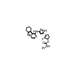 CC(C)NC(=O)O[C@H]1CC[C@@H](c2cc(Nc3nccn4nc5c(c34)CCCC5)n[nH]2)[C@H]1F